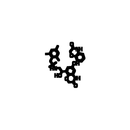 Cc1cc(C)c(CC(C)(C)NCC(O)c2cc(O)cc3c2OCC(=O)N3)c(C)c1.O=C1COc2ccccc2N1